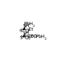 C=O.CCOC(=S)S.CCOC(=S)S.[PbH2].[PbH2]